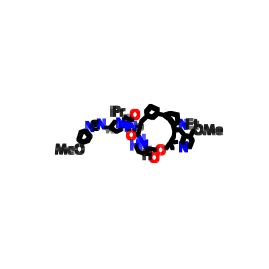 CCn1c(-c2cnccc2COC)c2c3cc(ccc31)-c1cccc(c1)C[C@H](NC(=O)[C@H](C(C)C)N1CC[C@@H](CN=C=Nc3ccc(OC)cc3)C1)C(=O)N1CCC[C@H](N1)C(=O)OCC(C)(C)C2